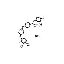 Cc1c(OC2CCN(CC3CCN([C@@H](Cc4ccc(F)cc4)C(=O)O)CC3)CC2)ccc(Cl)c1Cl.[KH]